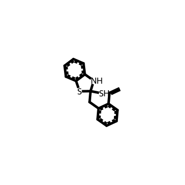 C=Cc1ccccc1CC1(S)Nc2ccccc2S1